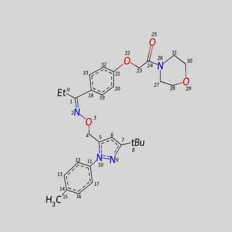 CCC(=NOCc1cc(C(C)(C)C)nn1-c1ccc(C)cc1)c1ccc(OCC(=O)N2CCOCC2)cc1